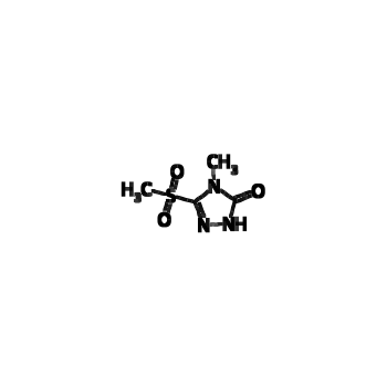 Cn1c(S(C)(=O)=O)n[nH]c1=O